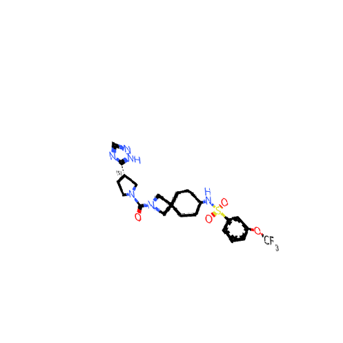 O=C(N1CC[C@H](c2ncn[nH]2)C1)N1CC2(CCC(NS(=O)(=O)c3cccc(OC(F)(F)F)c3)CC2)C1